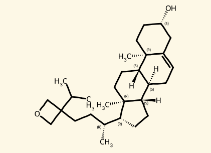 CC(C)C1(CC[C@@H](C)[C@H]2CC[C@H]3[C@@H]4CC=C5C[C@@H](O)CC[C@]5(C)[C@H]4CC[C@]23C)COC1